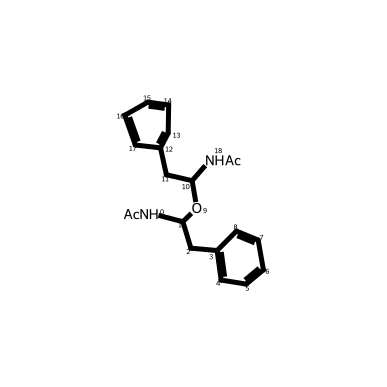 CC(=O)NC(Cc1ccccc1)OC(Cc1ccccc1)NC(C)=O